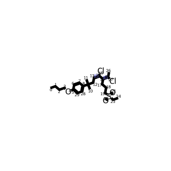 CCCCOc1ccc(C(C)(C)C/C=C(Cl)\C(CCCS(=O)(=O)CC)=C(/C)Cl)cc1